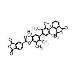 Cc1cc(-c2cc(C)c(-c3cccc4c3C(=O)OC4=O)c(C)c2C)c(C)c(C)c1OC(=O)c1ccc2c(c1)C(=O)OC2=O